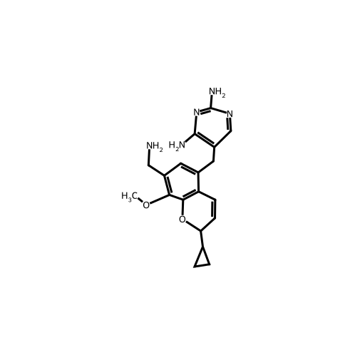 COc1c(CN)cc(Cc2cnc(N)nc2N)c2c1OC(C1CC1)C=C2